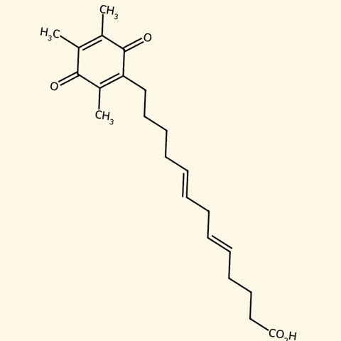 CC1=C(C)C(=O)C(CCCCC=CCC=CCCCC(=O)O)=C(C)C1=O